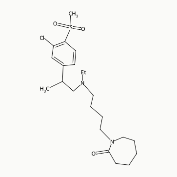 CCN(CCCCN1CCCCCC1=O)CC(C)c1ccc(S(C)(=O)=O)c(Cl)c1